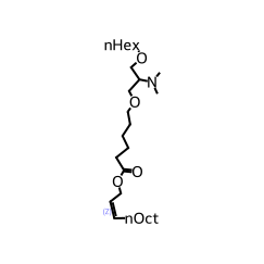 CCCCCCCC/C=C\COC(=O)CCCCCOCC(COCCCCCC)N(C)C